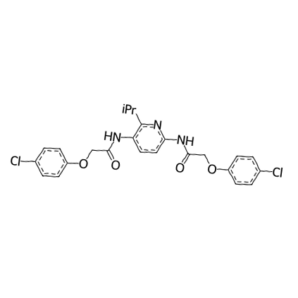 CC(C)c1nc(NC(=O)COc2ccc(Cl)cc2)ccc1NC(=O)COc1ccc(Cl)cc1